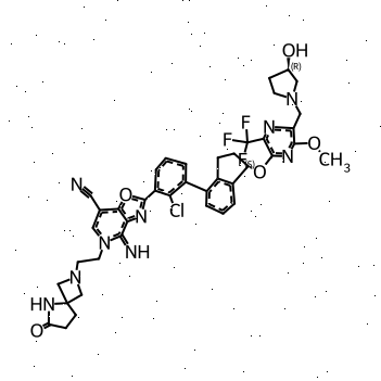 COc1nc(O[C@H]2CCc3c(-c4cccc(-c5nc6c(=N)n(CCN7CC8(CCC(=O)N8)C7)cc(C#N)c6o5)c4Cl)cccc32)c(C(F)(F)F)nc1CN1CC[C@@H](O)C1